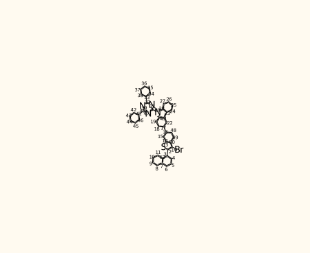 Brc1c(-c2cccc3ccccc23)sc2cc(-c3ccc4c(c3)c3ccccc3n4-c3nc(-c4ccccc4)nc(-c4ccccc4)n3)ccc12